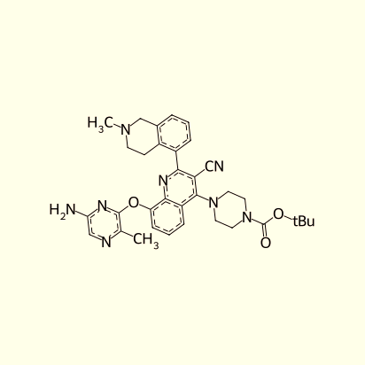 Cc1ncc(N)nc1Oc1cccc2c(N3CCN(C(=O)OC(C)(C)C)CC3)c(C#N)c(-c3cccc4c3CCN(C)C4)nc12